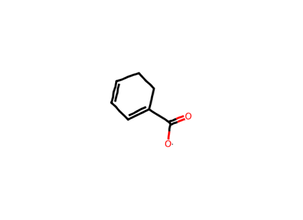 [O]C(=O)C1=CC=CCC1